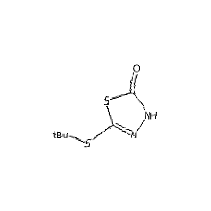 CC(C)(C)Sc1n[nH]c(=O)s1